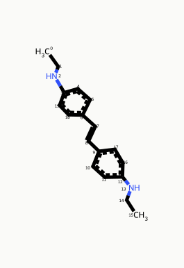 CCNc1ccc(/C=C/c2ccc(NCC)cc2)cc1